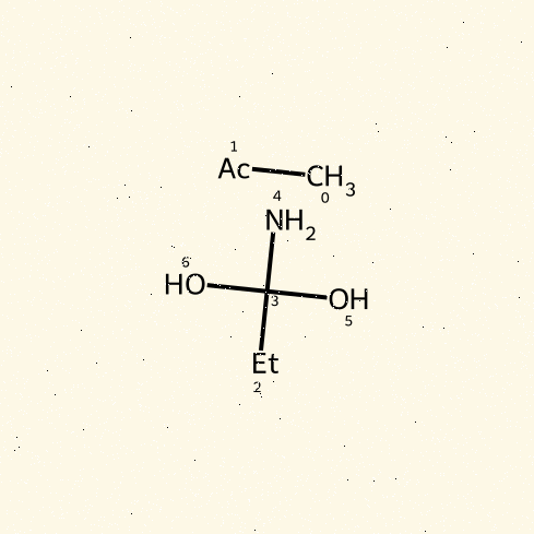 CC(C)=O.CCC(N)(O)O